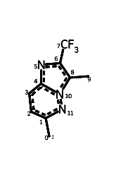 [CH]c1ccc2nc(C(F)(F)F)c(C)n2n1